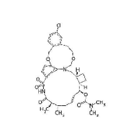 C[C@H]1C/C=C/[C@H](OC(=O)N(C)C)[C@@H]2CC[C@H]2CN2COCCc3cc(Cl)ccc3COc3ccc(cc32)S(=O)(=O)NC(=O)[C@@H]1C